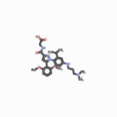 COc1cccc(OC)c1-c1cc(C(=O)NCC(=O)O)nn1-c1ccc(NCCCN(C)C)cc1C(C)C